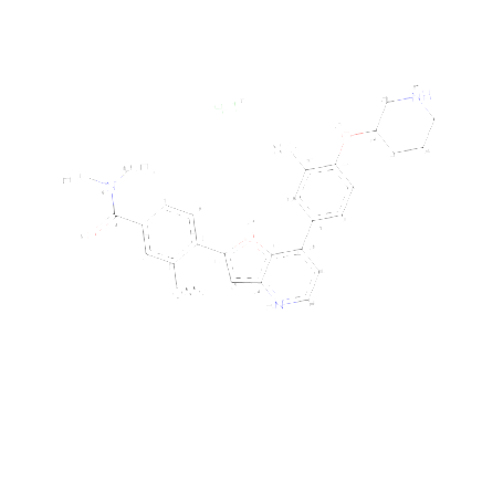 COc1cc(C(=O)N(C)C)ccc1-c1cc2nccc(-c3ccc(OC4CCCNC4)c(C#N)c3)c2o1.Cl